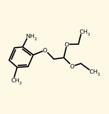 CCOC(COc1cc(C)ccc1N)OCC